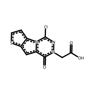 O=C(O)Cn1nc(Cl)n2c(cc3sccc32)c1=O